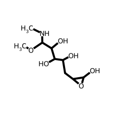 CNC(OC)C(O)C(O)C(O)CC1OC1O